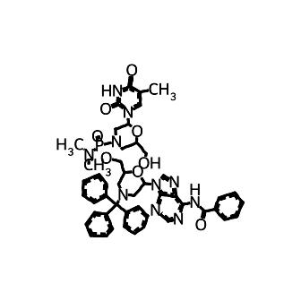 Cc1cn(C2CN(P(=O)(OCC3CN(C(c4ccccc4)(c4ccccc4)c4ccccc4)CC(n4cnc5c(NC(=O)c6ccccc6)ncnc54)O3)N(C)C)CC(CO)O2)c(=O)[nH]c1=O